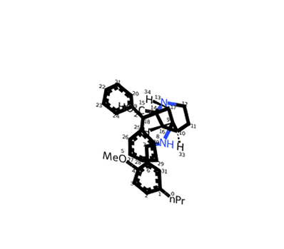 CCCc1ccc(OC)c(CN[C@H]2[C@H]3CCN(C(C(=O)O)C3)[C@H]2C(c2ccccc2)c2ccccc2)c1